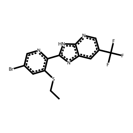 CCSc1cc(Br)cnc1-c1nc2cc(C(F)(F)F)cnc2[nH]1